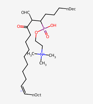 CCCCCCCC/C=C\CCCCCCCC(=O)C(C=O)C(CCCCCCCCCCCCC)P(=O)(O)OCC[N+](C)(C)C